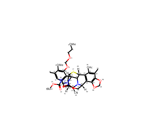 COCCOCOc1c(OC)c(C)cc2c1[C@@H]1C3[C@@H]4SC[C@@H](NC(=O)OC(C)(C)C)C(=O)OC[C@@H](c5c6c(c(C)c(OC(C)=O)c54)OCO6)N3[C@@H](C#N)[C@H](C2)N1C